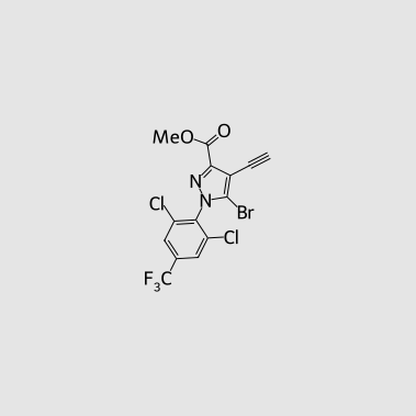 C#Cc1c(C(=O)OC)nn(-c2c(Cl)cc(C(F)(F)F)cc2Cl)c1Br